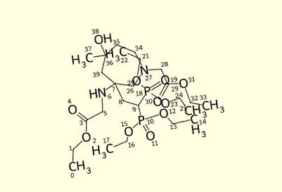 CCOC(=O)CNC1(CC(P(=O)(OCC)OCC)P(=O)(OCC)OCC)CN(CC(=O)OCC)CCC(C)(O)C1